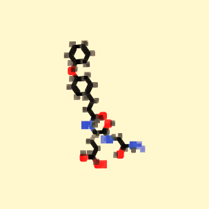 NC(=O)CNC(=O)[C@H](CCC(=O)O)NC(=O)CCc1ccc(Oc2ccccc2)cc1